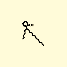 CCCCCCCCCCCC(CCCCC)c1ccccc1O